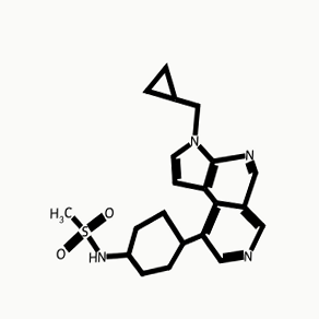 CS(=O)(=O)NC1CCC(c2cncc3cnc4c(ccn4CC4CC4)c23)CC1